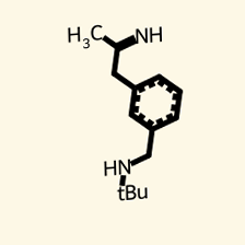 CC(=N)Cc1cccc(CNC(C)(C)C)c1